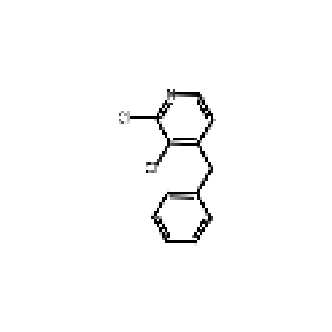 Clc1nccc(Cc2ccccc2)c1Cl